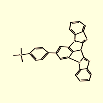 C[Si](C)(C)c1ccc(-c2cc3c4c(c2)n2c5ccccc5nc2n4c2nc4ccccc4n32)cc1